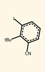 CC(C)(C)c1c(I)cccc1C#N